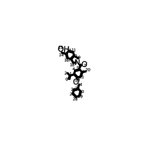 C=C(C)c1cc(C(=O)N2Cc3ccc(CO)cc3C2)c(C)cc1OCc1ccccc1